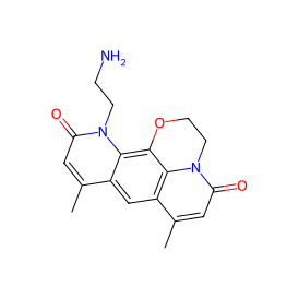 Cc1cc(=O)n(CCN)c2c3c4c(cc12)c(C)cc(=O)n4CCO3